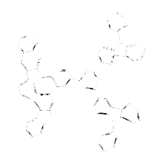 c1ccc(-n2c3ccccc3c3cc(-c4nc(-c5ccc(-n6c7ccccc7c7cc8ccccc8cc76)c(-c6ccc7c(c6)sc6ccccc67)c5)nc(-c5ccc6c(c5)c5ccccc5n6-c5ccccc5)n4)ccc32)cc1